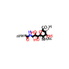 CCCCCCC(=O)NCC(O)C(O)C1OC(C(=O)O)=C[C@@H](O)C1NC(C)=O